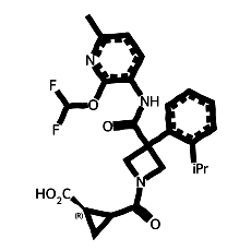 Cc1ccc(NC(=O)C2(c3ccccc3C(C)C)CN(C(=O)C3C[C@H]3C(=O)O)C2)c(OC(F)F)n1